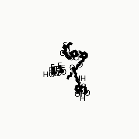 CCCCN(CCNCCc1ccc(O)c2c1OCC(=O)N2)C(=O)CCOCCc1cccc(CN2CCC3(CC2)CN(C(=O)c2csc(CC)n2)CCO3)c1Cl.O=C(O)C(F)(F)F.O=C(O)C(F)(F)F